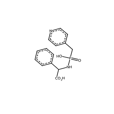 O=C(O)C(NP(=O)(O)Cc1ccncc1)c1ccccc1